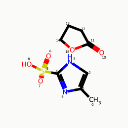 Cc1c[nH]c(S(=O)(=O)O)n1.O=C1CCCO1